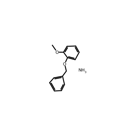 COc1ccccc1OCc1ccccc1.N